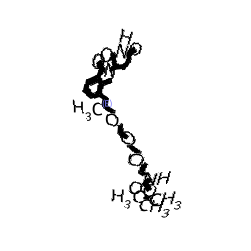 C/C(=C\c1cccc2c1CN(C1CCC(=O)NC1=O)C2=O)COCCOCCOCCNC(=O)OC(C)(C)C